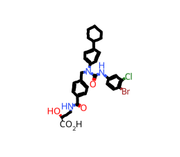 O=C(NC[C@@H](O)C(=O)O)c1ccc(CN(C(=O)Nc2ccc(Br)c(Cl)c2)c2ccc(C3CCCCC3)cc2)cc1